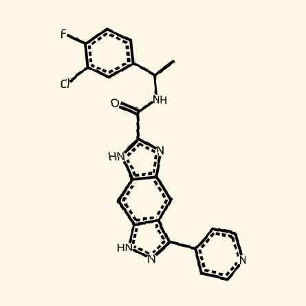 CC(NC(=O)c1nc2cc3c(-c4ccncc4)n[nH]c3cc2[nH]1)c1ccc(F)c(Cl)c1